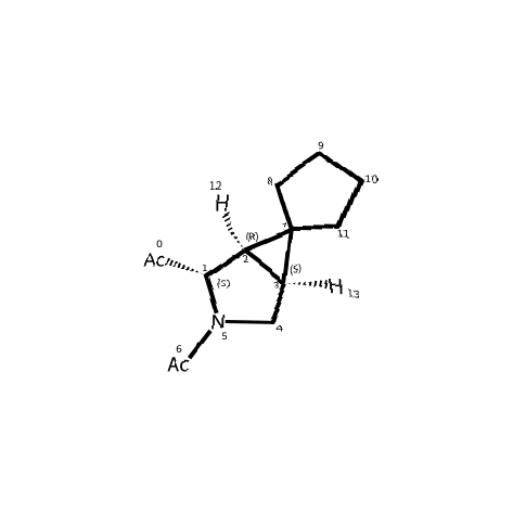 CC(=O)[C@@H]1[C@@H]2[C@H](CN1C(C)=O)C21CCCC1